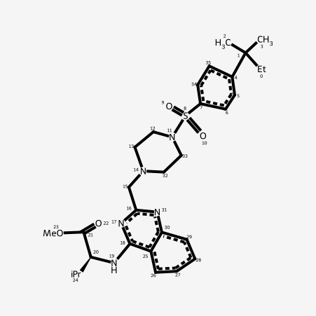 CCC(C)(C)c1ccc(S(=O)(=O)N2CCN(Cc3nc(N[C@H](C(=O)OC)C(C)C)c4ccccc4n3)CC2)cc1